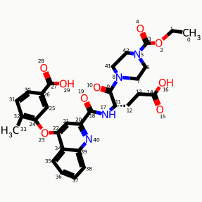 CCOC(=O)N1CCN(C(=O)[C@H](CCC(=O)O)NC(=O)c2cc(Oc3cc(C(=O)O)ccc3C)c3ccccc3n2)CC1